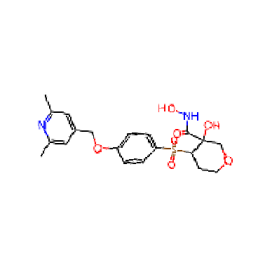 Cc1cc(COc2ccc(S(=O)(=O)C3CCOCC3(O)C(=O)NO)cc2)cc(C)n1